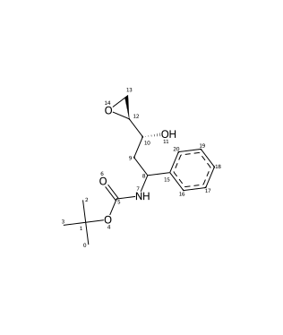 CC(C)(C)OC(=O)NC(C[C@@H](O)[C@@H]1CO1)c1ccccc1